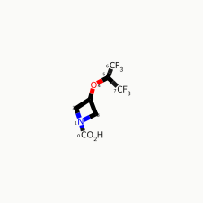 O=C(O)N1CC(OC(C(F)(F)F)C(F)(F)F)C1